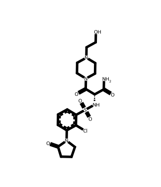 NC(=O)[C@H](NS(=O)(=O)c1cccc(N2CCCC2=O)c1Cl)C(=O)N1CCN(CCO)CC1